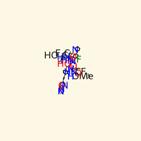 COC(=O)NC(C(=O)NC(Cc1ccc(C#Cc2ccc(N3CC4CC(C3)N4C3COC3)nc2)cc1)C(O)CN(Cc1c(F)cc(-c2ccccn2)cc1F)NC(=O)C(NC(=O)O)C(C)(C)C(F)(F)F)C(C)(C)C(F)(F)F